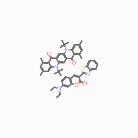 CCN(CC)c1ccc2cc(-c3nc4ccccc4s3)c(=O)oc2c1.Cc1cc(C)c2c(=O)c3cc4c(cc3n(C(C)(C)C)c2c1)c(=O)c1c(C)cc(C)cc1n4C(C)(C)C